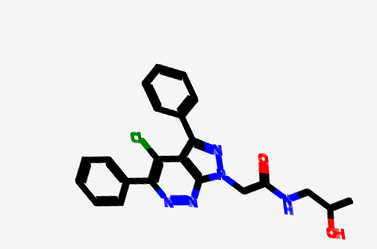 CC(O)CNC(=O)Cn1nc(-c2ccccc2)c2c(Cl)c(-c3ccccc3)nnc21